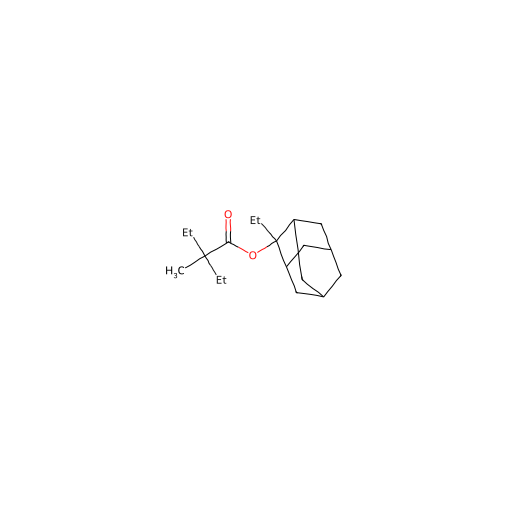 CCC(C)(CC)C(=O)OC1(CC)C2CC3CC(C2)CC1C3